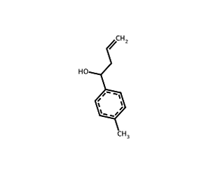 C=CCC(O)c1ccc(C)cc1